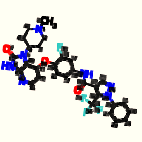 CN1CCC(n2c(=O)[nH]c3nccc(Oc4ccc(NC(=O)c5cnn(-c6ccccc6)c5C(F)(F)F)cc4F)c32)CC1